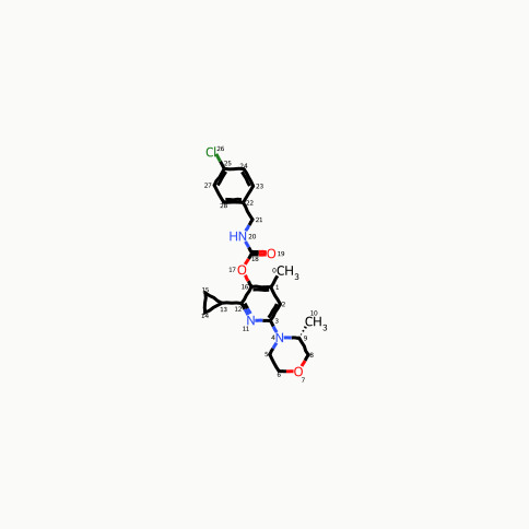 Cc1cc(N2CCOC[C@H]2C)nc(C2CC2)c1OC(=O)NCc1ccc(Cl)cc1